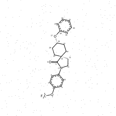 O=C1N(c2ccc(OC(F)(F)F)cc2)CC[C@]12CC[C@@H](Oc1ncccn1)CC2